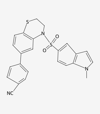 Cn1ccc2cc(S(=O)(=O)N3CCSc4ccc(-c5ccc(C#N)cc5)cc43)ccc21